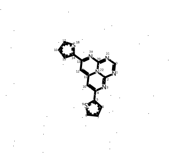 C1=NC2=NC(c3cccs3)=CC3=CC(c4cccs4)=NC(=N1)N32